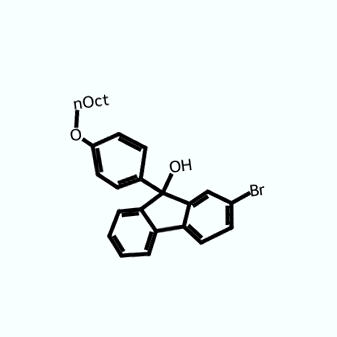 CCCCCCCCOc1ccc(C2(O)c3ccccc3-c3ccc(Br)cc32)cc1